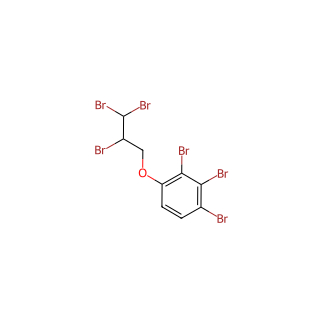 Brc1ccc(OCC(Br)C(Br)Br)c(Br)c1Br